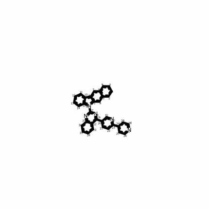 c1ccc2cc3c(cc2c1)c1ccccc1n3-c1nc(-c2ccc(-c3ccncc3)nc2)c2ccccc2n1